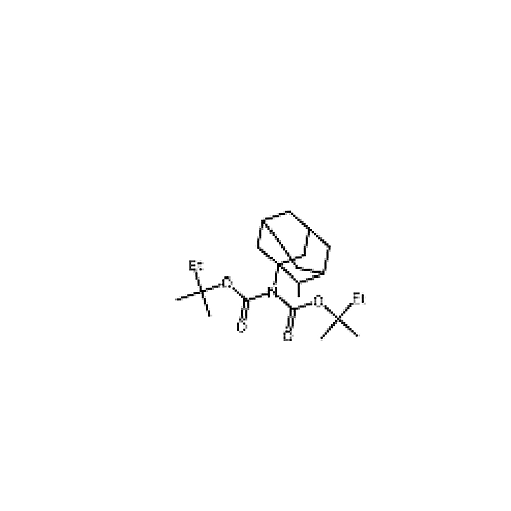 CCC(C)(C)OC(=O)N(C(=O)OC(C)(C)CC)C12CC3CC(CC(C3)C1C)C2